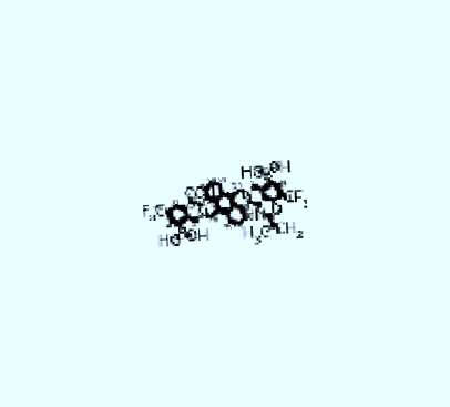 C=C(C)C(=O)NCCN(Cc1ccc(C(F)(F)F)cc1B(O)O)Cc1c2ccccc2c(CN(CCC(=O)O)Cc2ccc(C(F)(F)F)cc2B(O)O)c2ccccc12